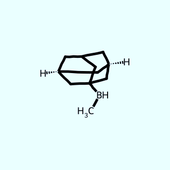 CBC12CC3C[C@H](C1)C[C@@H](C3)C2